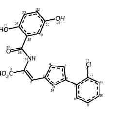 O=C(O)/C(=C/c1ccc(-c2ccccc2Cl)s1)NC(=O)c1cc(O)ccc1O